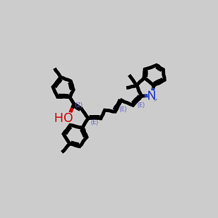 Cc1ccc(/C(O)=C/C(=C\C/C=C/C=C2/N(C)c3ccccc3C2(C)C)c2ccc(C)cc2)cc1